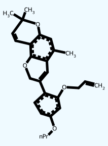 C=CCOc1cc(OCCC)ccc1C1=Cc2c(C)cc3c(c2OC1)C=CC(C)(C)O3